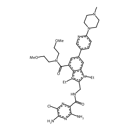 CCn1c(CNC(=O)c2nc(Cl)c(N)nc2N)[n+](CC)c2cc(-c3ccc(N4CCN(C)CC4)nc3)cc(C(=O)N(CCOC)CCOC)c21